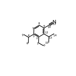 CCc1c(C(C)C)ccc(C#N)c1C(C)C